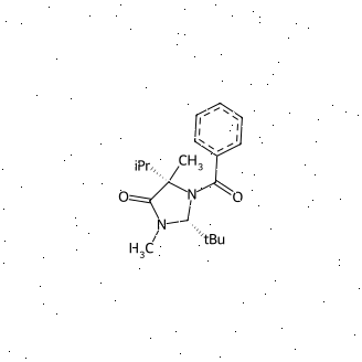 CC(C)[C@@]1(C)C(=O)N(C)[C@@H](C(C)(C)C)N1C(=O)c1ccccc1